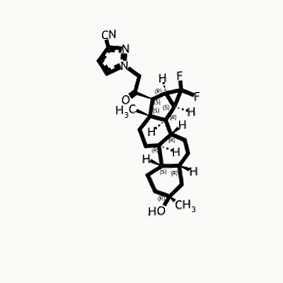 C[C@@]1(O)CC[C@H]2[C@H](CC[C@@H]3[C@@H]2CC[C@@]2(C)[C@H]3[C@H]3[C@@H]([C@@H]2C(=O)Cn2ccc(C#N)n2)C3(F)F)C1